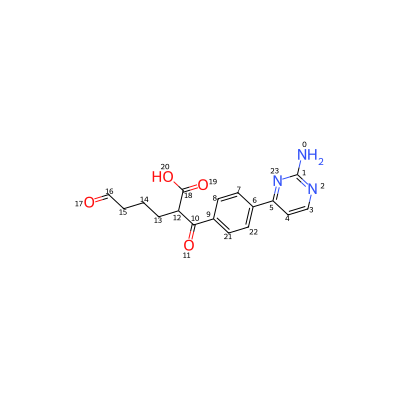 Nc1nccc(-c2ccc(C(=O)C(CCCC=O)C(=O)O)cc2)n1